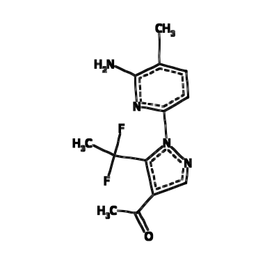 CC(=O)c1cnn(-c2ccc(C)c(N)n2)c1C(C)(F)F